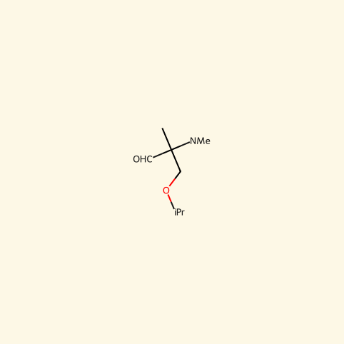 CNC(C)(C=O)COC(C)C